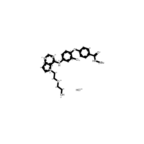 CC(C)(C)NC(=O)c1ccc(Oc2ccc(Nc3ncnc4ccn(CCOCCO)c34)cc2Cl)cc1.Cl